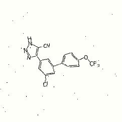 N#Cc1[nH]nnc1-c1cc(Cl)cc(-c2ccc(OC(F)(F)F)cc2)c1